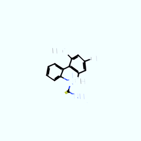 Cc1cc(C)c(-c2ccccc2NC(N)=S)c(C)c1